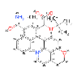 Cc1c(C(OC(C)(C)C)C(=O)O)c(-c2ccc3c4c(ccnc24)CCO3)c2ccccc2c1C(N)=O